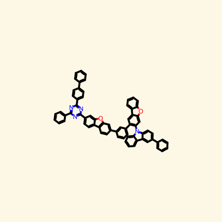 c1ccc(-c2ccc(-c3nc(-c4ccccc4)nc(-c4ccc5c(c4)oc4cc(-c6cccc(-c7cc8c(cc7-n7c9ccccc9c9cc(-c%10ccccc%10)ccc97)oc7ccccc78)c6)ccc45)n3)cc2)cc1